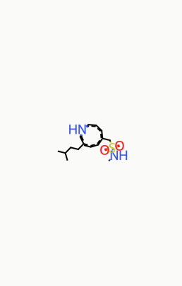 CNS(=O)(=O)Cc1ccc[nH]cc(CCC(C)C)cc1